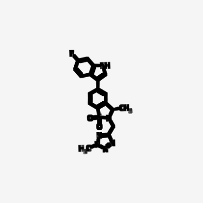 C[C@@H]1c2cc(-c3c[nH]c4cc(F)ccc34)ccc2S(=O)(=O)N1Cc1nnn(C)n1